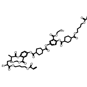 C=CC(=O)OCCCCOC(=O)C(CC)CCC(C)C(=O)Oc1ccc(OC(=O)C2CCC(C(=O)Oc3ccc(OC(=O)C4CCC(C(=O)OCCCCOC(=O)C=C)CC4)c(C(=O)OCC(C)CC)c3)CC2)cc1C(=O)OCC(C)CC